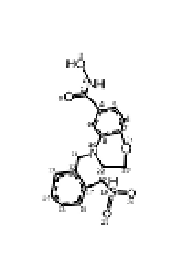 O=C(NO)c1ccc2c(c1)N(Cc1ccccc1C[SH](=O)=O)CCO2